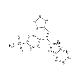 CS(=O)(=O)c1ccc(/C(=C\C2CCCC2)c2cc3cccnc3[nH]2)cn1